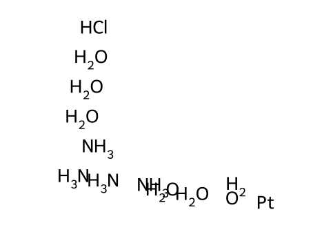 Cl.N.N.N.N.O.O.O.O.O.O.[Pt]